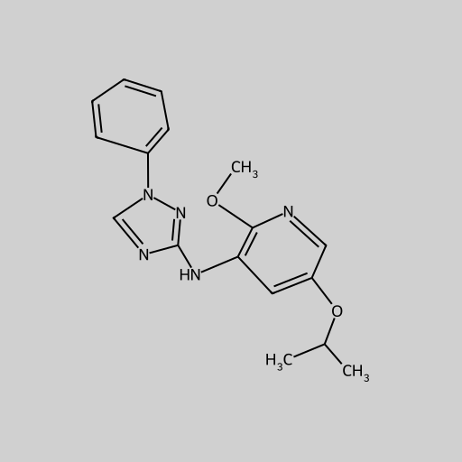 COc1ncc(OC(C)C)cc1Nc1ncn(-c2ccccc2)n1